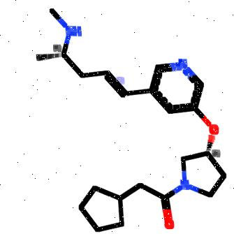 CN[C@@H](C)C/C=C/c1cncc(O[C@@H]2CCN(C(=O)CC3CCCC3)C2)c1